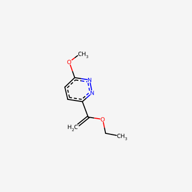 C=C(OCC)c1ccc(OC)nn1